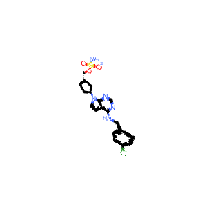 NS(=O)(=O)OC[C@H]1CC[C@H](n2ccc3c(NCc4ccc(Cl)cc4)ncnc32)C1